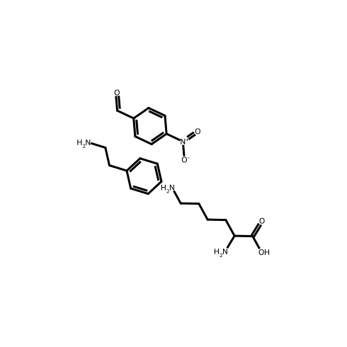 NCCCCC(N)C(=O)O.NCCc1ccccc1.O=Cc1ccc([N+](=O)[O-])cc1